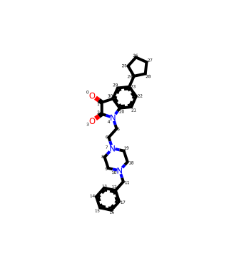 O=C1C(=O)N(CCN2CCN(Cc3ccccc3)CC2)c2ccc(C3CCCC3)cc21